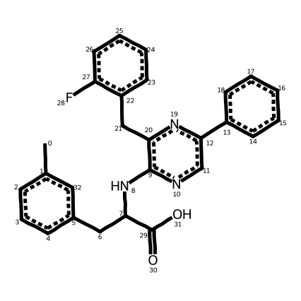 Cc1cccc(CC(Nc2ncc(-c3ccccc3)nc2Cc2ccccc2F)C(=O)O)c1